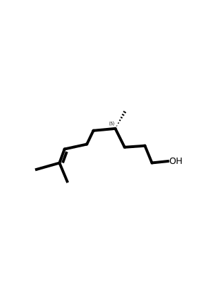 CC(C)=CCC[C@H](C)CCCO